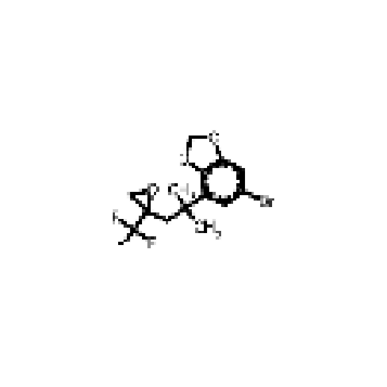 CC(C)(CC1(C(F)(F)F)CO1)c1cc(Br)cc2c1OCO2